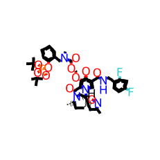 CC1=NO[C@@]2(CC[C@H](C)N3C[C@H]2n2cc(C(=O)NCc4ccc(F)cc4F)c(=O)c(OCOC(=O)N(C)Cc4ccccc4OP(=O)(OC(C)(C)C)OC(C)(C)C)c2C3=O)C1